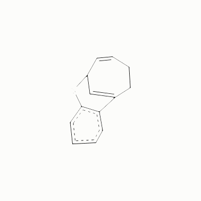 C1=CC2C=C(CC1)c1ccccc1S2